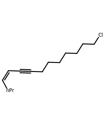 CCC/C=C\C#CCCCCCCCCl